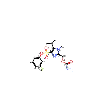 CC(C)c1c(S(=O)(=O)Oc2cccc(F)c2)nc(COC(N)=O)n1C